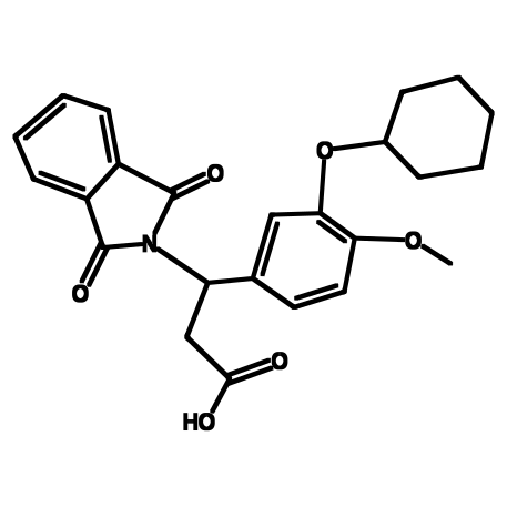 COc1ccc(C(CC(=O)O)N2C(=O)c3ccccc3C2=O)cc1OC1CCCCC1